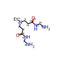 CCN(CCC(=O)NCN)CCC(=O)NCN